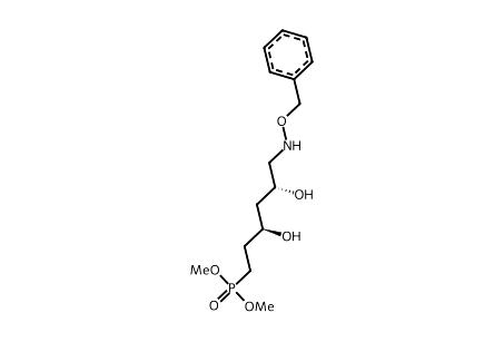 COP(=O)(CC[C@H](O)C[C@@H](O)CNOCc1ccccc1)OC